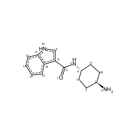 N[C@H]1CC[C@H](NC(=O)c2c[nH]c3ccccc23)CC1